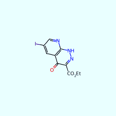 CCOC(=O)c1n[nH]c2ncc(I)cc2c1=O